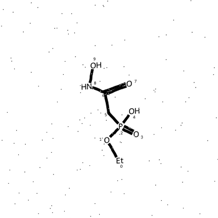 CCOP(=O)(O)CC(=O)NO